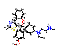 CCN(CCN(C)C)c1ccc(C2(c3ccc(OC)cc3)Oc3ccccc3-c3nc(C)sc32)cc1